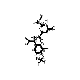 CC(C)[C@@H](NC(=O)c1cc(=O)[nH]c(N(C)C)n1)c1ccc(SC(F)(F)F)c(F)c1